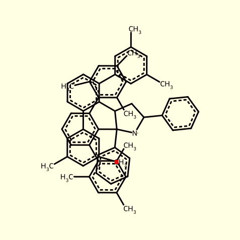 Cc1cc(C)cc(-c2cccc(-c3cc(C)cc(C)c3)c2C2CC(c3ccccc3)[N]C2(c2ccccc2)c2c(-c3c(C)cc(C)cc3C)cccc2-c2c(C)cc(C)cc2C)c1